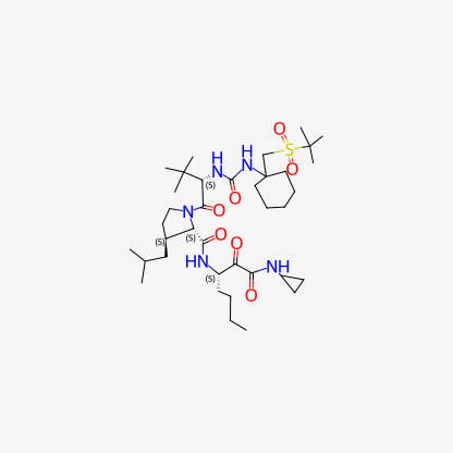 CCCC[C@H](NC(=O)[C@@H]1[C@@H](CC(C)C)CCN1C(=O)[C@@H](NC(=O)NC1(CS(=O)(=O)C(C)(C)C)CCCCC1)C(C)(C)C)C(=O)C(=O)NC1CC1